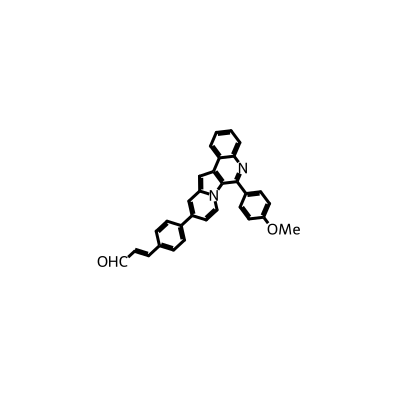 COc1ccc(-c2nc3ccccc3c3cc4cc(-c5ccc(/C=C/C=O)cc5)ccn4c23)cc1